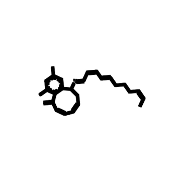 C=C1/C=C\C=C/CC(/N=C/C=C\C=C\CCC/C=C\C)c2cc(C)cc(C)c21